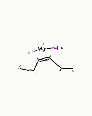 [CH2]C/C=C\CC.[I][Mg][I]